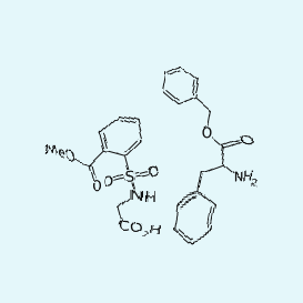 COC(=O)c1ccccc1S(=O)(=O)NCC(=O)O.NC(Cc1ccccc1)C(=O)OCc1ccccc1